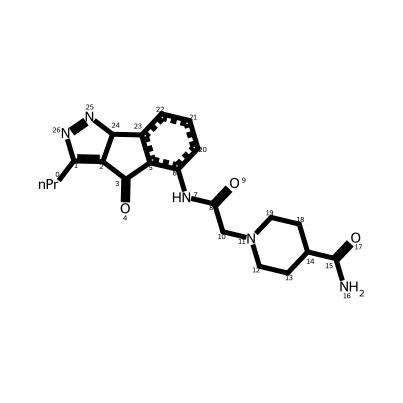 CCCC1=C2C(=O)c3c(NC(=O)CN4CCC(C(N)=O)CC4)cccc3C2N=N1